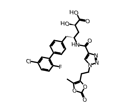 Cc1oc(=O)oc1CCn1cc(C(=O)N[C@H](Cc2ccc(-c3cc(Cl)ccc3F)cc2)C[C@@H](O)C(=O)O)nn1